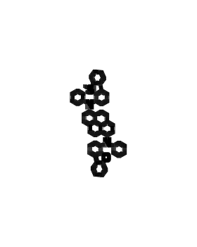 C[Si]1(C)c2ccccc2-c2cccc(N(c3ccccc3)c3ccc4ccc5c(N(c6ccccc6)c6cccc7c6oc6ccccc67)ccc6ccc3c4c65)c21